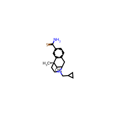 CC1C2Cc3ccc(C(N)=S)cc3[C@@]1(C)CCN2CC1CC1